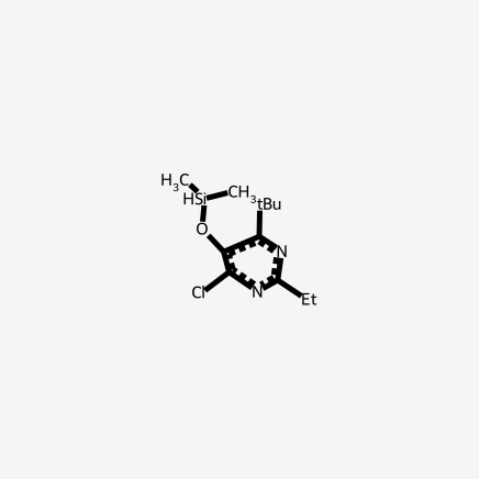 CCc1nc(Cl)c(O[SiH](C)C)c(C(C)(C)C)n1